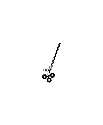 CCCCCCCCCCCCCCCOC[C@@H](O)COC(c1ccccc1)(c1ccccc1)c1ccccc1